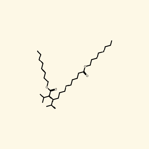 CCCCCCCCOC(=O)CCCCCCCCC(C(C)C)C(C(=O)OCCCCCCCC)C(C)C